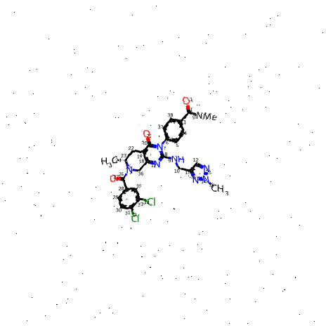 CNC(=O)c1ccc(-n2c(NCc3cnn(C)n3)nc3c(c2=O)C[C@@H](C)N(C(=O)c2ccc(Cl)c(Cl)c2)C3)cc1